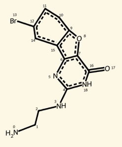 NCCNc1nc2c(oc3ccc(Br)cc32)c(=O)[nH]1